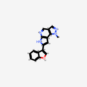 Cn1ncc2cnc3[nH]c(-c4coc5ccccc45)cc3c21